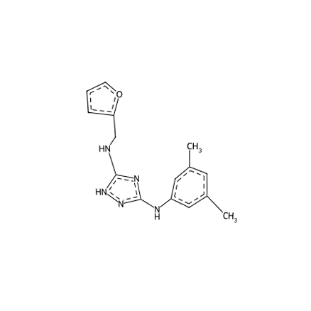 Cc1cc(C)cc(Nc2n[nH]c(NCc3ccco3)n2)c1